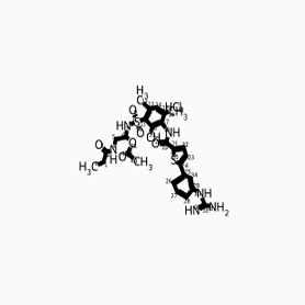 CCC(=O)NCC(NS(=O)(=O)c1c(C)cc(C)c(NC(=O)c2ccc(-c3cccc(NC(=N)N)c3)s2)c1C)OC(C)=O.Cl